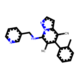 Cc1ccccc1-c1c(C#N)c(NCc2cccnc2)n2nccc2c1C#N